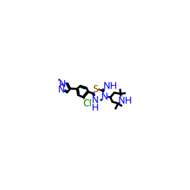 CN(C(=N)SC(=N)c1ccc(-c2cnn(C)c2)cc1Cl)C1CC(C)(C)NC(C)(C)C1